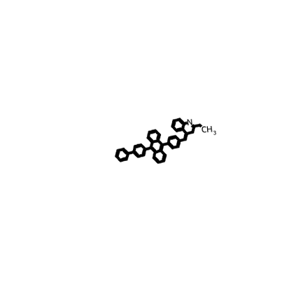 CCC1=Nc2ccccc2/C(=C\c2ccc(-c3c4ccccc4c(-c4ccc(-c5ccccc5)cc4)c4ccccc34)cc2)C1